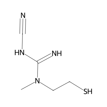 CN(CCS)C(=N)NC#N